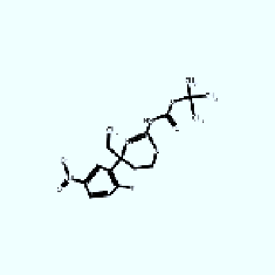 CCC1(c2cc([N+](=O)[O-])ccc2F)CCSC(NC(=O)OC(C)(C)C)=N1